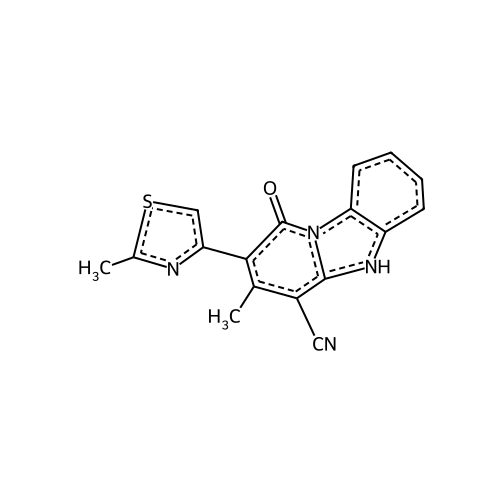 Cc1nc(-c2c(C)c(C#N)c3[nH]c4ccccc4n3c2=O)cs1